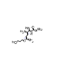 CC(C)(C)OC(=O)NC(=N)/C(N)=C/C=C(\N)OCCCO